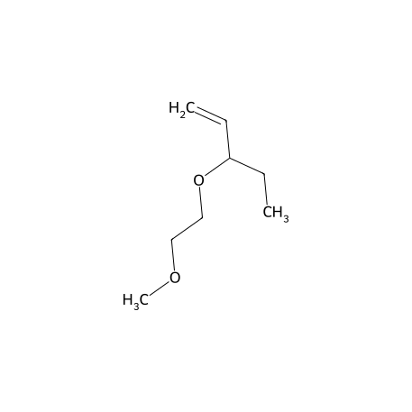 C=CC(CC)OCCOC